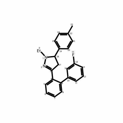 CCN1N=C(c2ccccc2-c2cccc(F)c2)CC1c1ccc(C)cc1